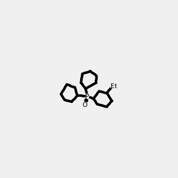 CCC1CCCC(P(=O)(C2CCCCC2)C2CCCCC2)C1